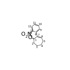 O=C1CCCCC=C1c1ccccc1[N+](=O)[O-]